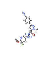 CCn1nc(-c2ccc(C#N)cc2)cc1C(=O)NNc1cnc(OC)c(F)c1